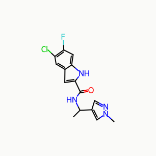 CC(NC(=O)c1cc2cc(Cl)c(F)cc2[nH]1)c1cnn(C)c1